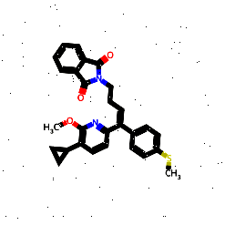 COc1nc(C(=CCCN2C(=O)c3ccccc3C2=O)c2ccc(SC)cc2)ccc1C1CC1